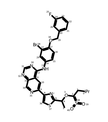 CC(C)CC(OC(C)c1nc(-c2cc3c(Nc4ccc(OCc5cccc(F)c5)c(Br)c4)ncnc3cn2)cs1)=S(=O)=O